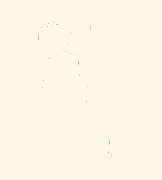 C=O.CCCCCCCCCCCCCCCCCc1ccccc1O